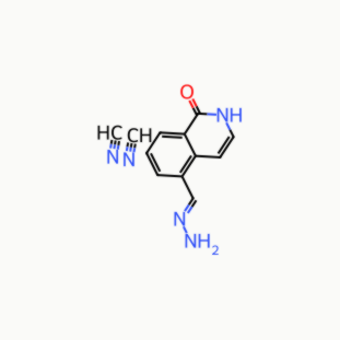 C#N.C#N.NN=Cc1cccc2c(=O)[nH]ccc12